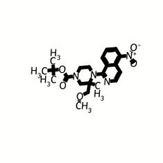 COCC1(C)CN(C(=O)OC(C)(C)C)CCN1c1nccc2c([N+](=O)[O-])cccc12